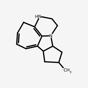 CC1CC2C3=CC=CCC4=C3N(CCN4)C2C1